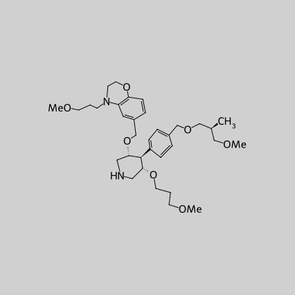 COCCCO[C@@H]1CNC[C@H](OCc2ccc3c(c2)N(CCCOC)CCO3)[C@H]1c1ccc(COC[C@@H](C)COC)cc1